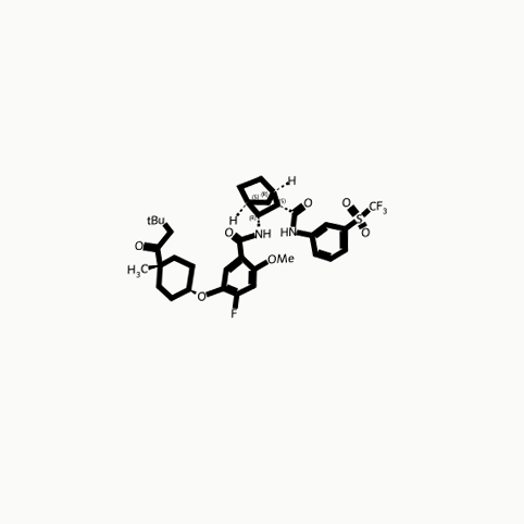 COc1cc(F)c(O[C@H]2CC[C@@](C)(C(=O)CC(C)(C)C)CC2)cc1C(=O)N[C@@H]1[C@H]2CC[C@H](C2)[C@@H]1C(=O)Nc1cccc(S(=O)(=O)C(F)(F)F)c1